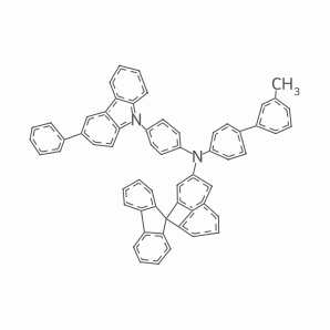 Cc1cccc(-c2ccc(N(c3ccc(-n4c5ccccc5c5cc(-c6ccccc6)ccc54)cc3)c3cc4c5c(cccc5c3)C43c4ccccc4-c4ccccc43)cc2)c1